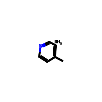 B.Cc1ccncc1